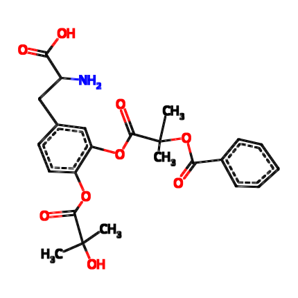 CC(C)(O)C(=O)Oc1ccc(CC(N)C(=O)O)cc1OC(=O)C(C)(C)OC(=O)c1ccccc1